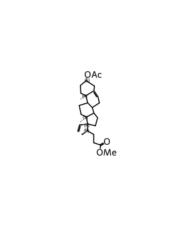 C=C[C@]1([C@H](C)CCC(=O)OC)CCC2C3CC=C4C[C@@H](OC(C)=O)CC[C@]4(C)C3CC[C@@]21C